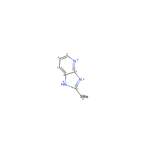 [CH2]Sc1nc2ncccc2[nH]1